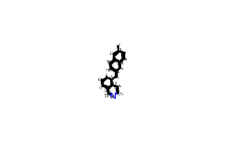 Cc1ccc2cc(Cc3cccc4cnccc34)ccc2c1